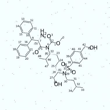 COC(=O)N(C(=O)[C@@H](N)C(c1ccccc1)c1ccccc1)[C@H](CCC[C@@H](CO)N(CCC(C)C)S(=O)(=O)c1ccc(CO)cc1)C(C)C